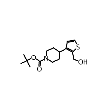 CC(C)(C)OC(=O)N1CCC(c2ccsc2CO)CC1